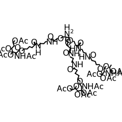 CC(=O)N[C@@H](C(OC(C)=O)OC(C)=O)[C@H](OCCCCC(=O)NCCCNC(=O)CCOCC(N)(COCCC(=O)NCCCNC(=O)CCCCO[C@@H]1OC(COC(C)=O)[C@H](OC(C)=O)C(OC(C)=O)[C@@H]1NC(C)=O)COCCC(=O)NCCCNC(=O)CCCCO[C@@H]1OC(COC(C)=O)[C@H](OC(C)=O)C(OC(C)=O)[C@@H]1NC(C)=O)OC(C)COC(C)=O